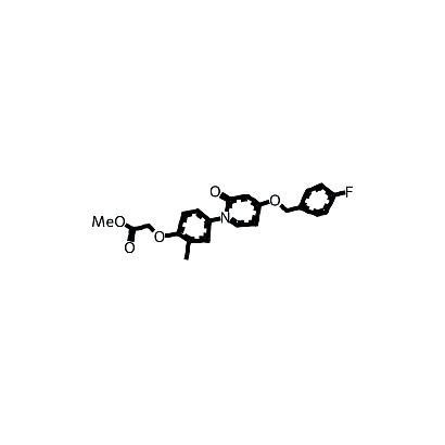 COC(=O)COc1ccc(-n2ccc(OCc3ccc(F)cc3)cc2=O)cc1C